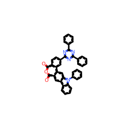 O=c1oc(=O)c2cc3c4ccccc4n(-c4ccccc4)c3cc2c2cc(-c3nc(-c4ccccc4)nc(-c4ccccc4)n3)ccc12